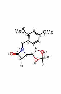 COc1ccc(CN2C(=O)[C@@H](C)[C@H]2[C@@H]2COC(C)(C)O2)c(OC)c1